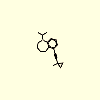 CC(C)N1CCCCc2c(C#CC3(C)CC3)cncc21